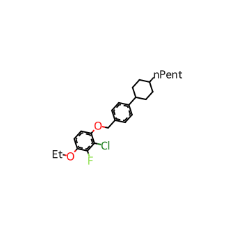 CCCCCC1CCC(c2ccc(COc3ccc(OCC)c(F)c3Cl)cc2)CC1